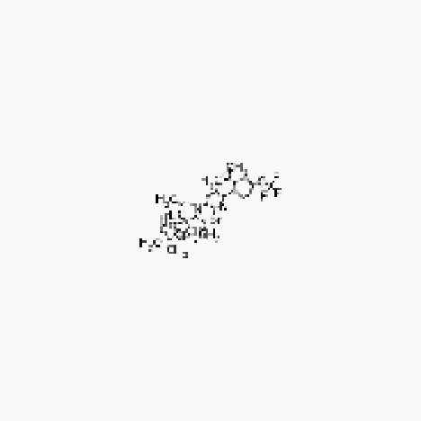 C=CCN(c1cc(C)c(-c2ccc(OC(F)(F)F)cc2OC)nc1Br)[C@@H](CC)C(C)(C)O[SiH2]C(C)(C)C